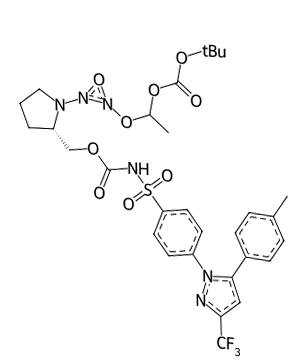 Cc1ccc(-c2cc(C(F)(F)F)nn2-c2ccc(S(=O)(=O)NC(=O)OC[C@@H]3CCCN3n3on3OC(C)OC(=O)OC(C)(C)C)cc2)cc1